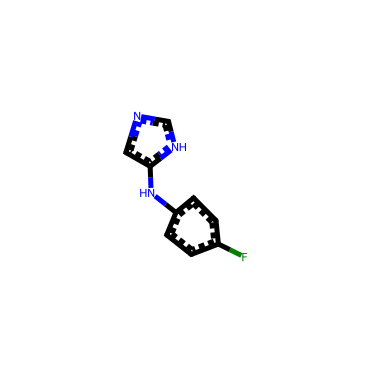 Fc1ccc(Nc2cnc[nH]2)cc1